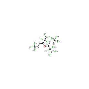 FC(F)C(F)(F)C(CCC(F)(F)F)OC(CCC(F)(F)F)C(F)(F)C(F)F